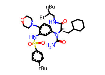 CCCCC(CC)CNC(=O)[C@@H](CC1CCCCC1)N(C(N)=O)c1ccc(N2CCOCC2)c(NS(=O)(=O)c2ccc(C(C)(C)C)cc2)c1